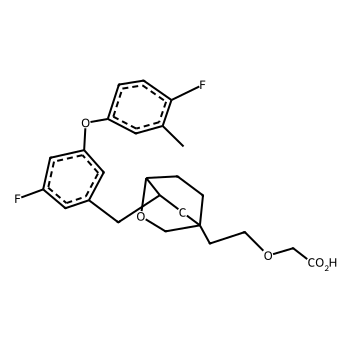 Cc1cc(Oc2cc(F)cc(CC3CC4(CCOCC(=O)O)CCC3OC4)c2)ccc1F